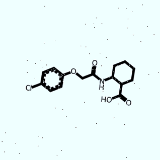 O=C(COc1ccc(Cl)cc1)NC1CCCCC1C(=O)O